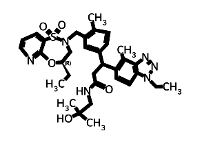 CC[C@@H]1CN(Cc2cc(C(CC(=O)NCC(C)(C)O)c3ccc4c(nnn4CC)c3C)ccc2C)S(=O)(=O)c2cccnc2O1